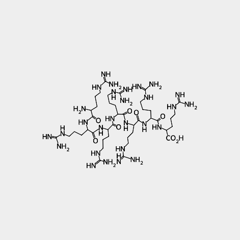 N=C(N)NCCCC(N)C(=O)NC(CCCNC(=N)N)C(=O)NC(CCCNC(=N)N)C(=O)NC(CCCNC(=N)N)C(=O)NC(CCCNC(=N)N)C(=O)NC(CCCNC(=N)N)C(=O)NC(CCCNC(=N)N)C(=O)O